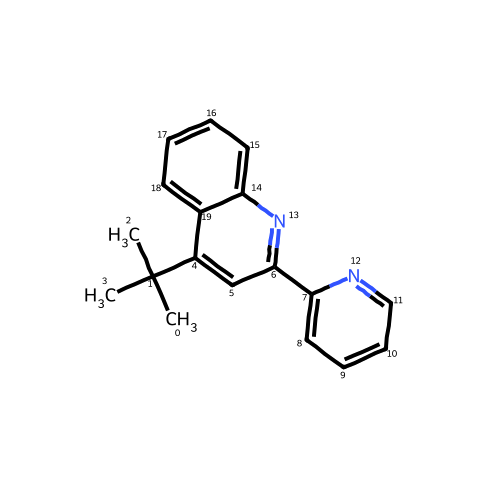 CC(C)(C)c1cc(-c2ccccn2)nc2ccccc12